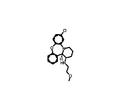 COCCN[C@@H]1CCCN2c3cc(Cl)ccc3Oc3ccccc3[C@@H]12